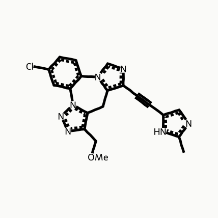 COCc1nnn2c1Cc1c(C#Cc3cnc(C)[nH]3)ncn1-c1ccc(Cl)cc1-2